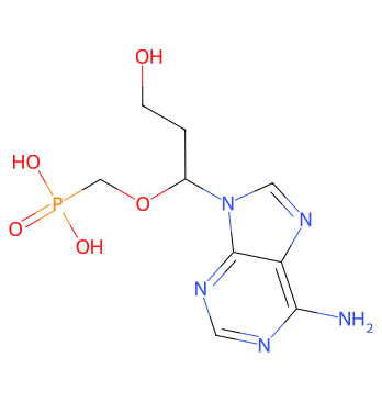 Nc1ncnc2c1ncn2C(CCO)OCP(=O)(O)O